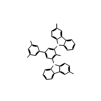 Cc1cc(-c2cc(-n3c4ccccc4c4cc(C(C)(C)C)ccc43)c(C#N)c(-n3c4ccccc4c4cc(C(C)(C)C)ccc43)c2)cc(C(F)(F)F)c1